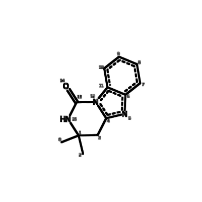 CC1(C)Cc2nc3ccccc3n2C(=O)N1